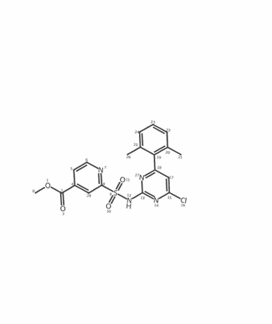 COC(=O)c1ccnc(S(=O)(=O)Nc2nc(Cl)cc(-c3c(C)cccc3C)n2)c1